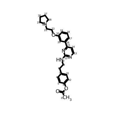 CC(=O)Oc1ccc(CCNc2nccc(-c3cccc(OCCN4CCCC4)c3)n2)cc1